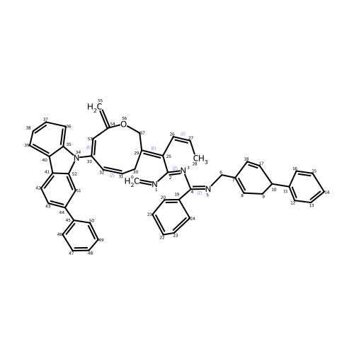 C=NC(=N\C(=N/CC1=CCC(c2ccccc2)C=C1)c1ccccc1)/C(/C=C\C)=C1\C/C=C\C(n2c3ccccc3c3ccc(-c4ccccc4)cc32)=C/C(=C)OC1